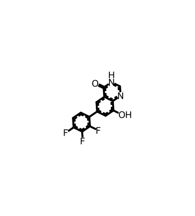 O=c1[nH]cnc2c(O)cc(-c3ccc(F)c(F)c3F)cc12